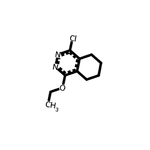 CCOc1nnc(Cl)c2c1CCCC2